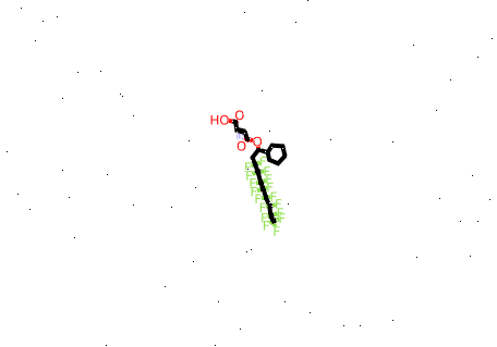 O=C(O)/C=C/C(=O)OC(CC(F)(F)C(F)(F)C(F)(F)C(F)(F)C(F)(F)C(F)(F)C(F)(F)C(F)(F)F)C1CCCCC1